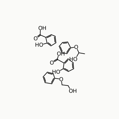 CC(O)Oc1ccccc1.O=C(O)c1ccccc1O.O=C(O)c1ccccc1O.OCCOc1ccccc1